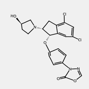 O=c1ocnn1-c1ccc(O[C@H]2c3cc(Cl)cc(Cl)c3C[C@H]2N2CC[C@@H](O)C2)cc1